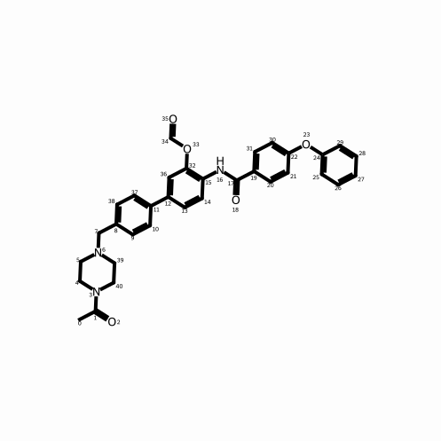 CC(=O)N1CCN(Cc2ccc(-c3ccc(NC(=O)c4ccc(Oc5ccccc5)cc4)c(OC=O)c3)cc2)CC1